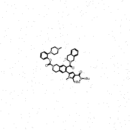 CCCCN(CCCC)C(=O)c1cc(-c2cc3c(cc2C(=O)N2Cc4ccccc4C[C@H]2C)CN(C(=O)Oc2ccccc2N2CCN(C)CC2)CC3)n(C)c1C